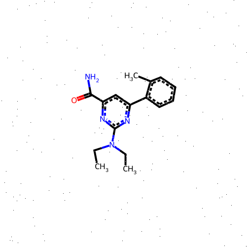 CCN(CC)c1nc(C(N)=O)cc(-c2ccccc2C)n1